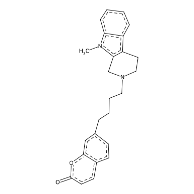 Cn1c2c(c3ccccc31)CCN(CCCCc1ccc3ccc(=O)oc3c1)C2